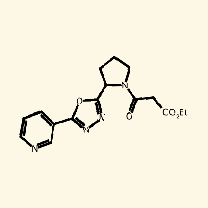 CCOC(=O)CC(=O)N1CCCC1c1nnc(-c2cccnc2)o1